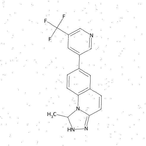 CC1NN=C2C=Cc3cc(-c4cncc(C(F)(F)F)c4)ccc3N21